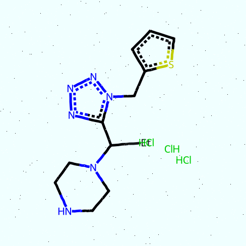 CCC(c1nnnn1Cc1cccs1)N1CCNCC1.Cl.Cl.Cl